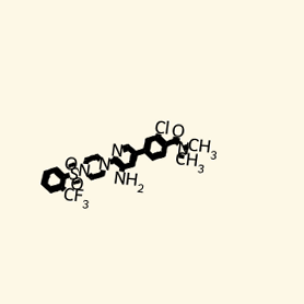 CN(C)C(=O)c1ccc(-c2cnc(N3CCN(S(=O)(=O)c4ccccc4C(F)(F)F)CC3)c(N)c2)cc1Cl